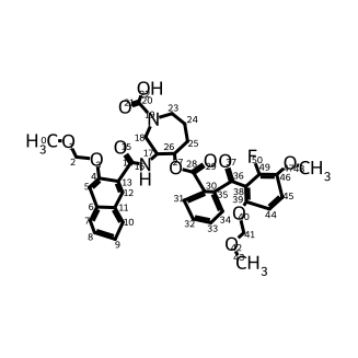 COCOc1cc2ccccc2cc1C(=O)NC1CN(C(=O)O)CCCC1OC(=O)c1ccccc1C(=O)c1c(OCOC)ccc(OC)c1F